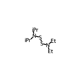 CCN(CC)SSN(C(C)C)C(C)C